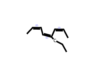 C\C=C/C=C(\C=C/C)CCC